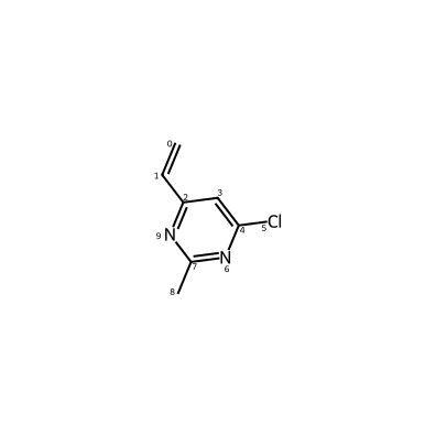 C=Cc1cc(Cl)nc(C)n1